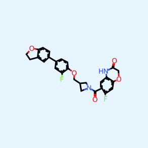 O=C1COc2cc(F)c(C(=O)N3CC(COc4ccc(-c5ccc6c(c5)CCO6)cc4F)C3)cc2N1